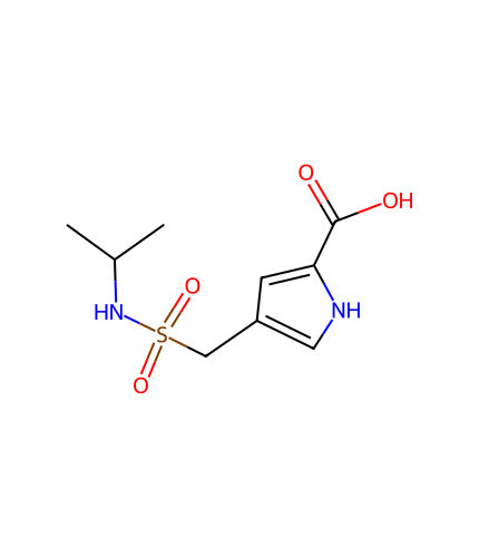 CC(C)NS(=O)(=O)Cc1c[nH]c(C(=O)O)c1